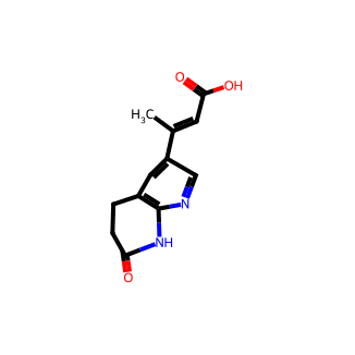 C/C(=C\C(=O)O)c1cnc2c(c1)CCC(=O)N2